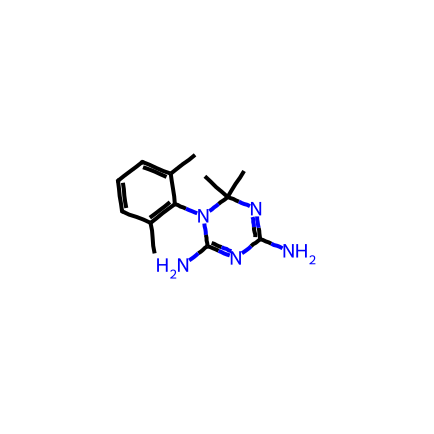 Cc1cccc(C)c1N1C(N)=NC(N)=NC1(C)C